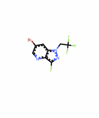 Fc1nn(CC(F)(F)F)c2cc(Br)cnc12